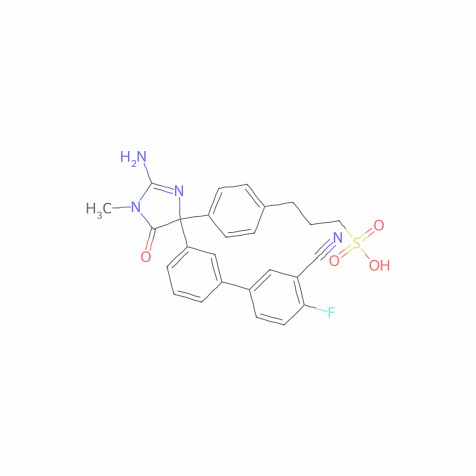 CN1C(=O)C(c2ccc(CCCS(=O)(=O)O)cc2)(c2cccc(-c3ccc(F)c(C#N)c3)c2)N=C1N